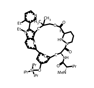 CCc1ccncc1-c1c2c3cc(ccc3n1CC)-c1cc(cc(O[Si](C(C)C)(C(C)C)C(C)C)c1)C[C@H](NC(=O)[C@@H](NC)C(C)C)C(=O)N1CCC[C@H](N1)C(=O)OCC(C)(C)C2